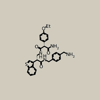 CCOc1ccc([C@H](C(N)=O)C(=O)NC[C@H](C(=O)NCc2ccc(CN)cc2)c2csc3ccccc23)cc1